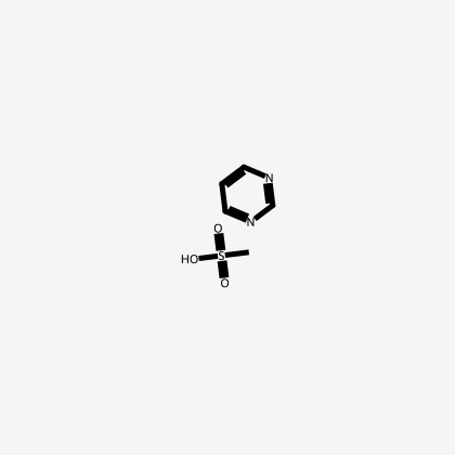 CS(=O)(=O)O.c1cncnc1